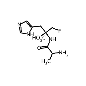 CC(N)C(=O)NC(CF)(Cc1cnc[nH]1)C(=O)O